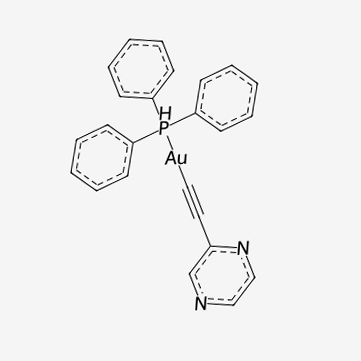 [C](#Cc1cnccn1)[Au][PH](c1ccccc1)(c1ccccc1)c1ccccc1